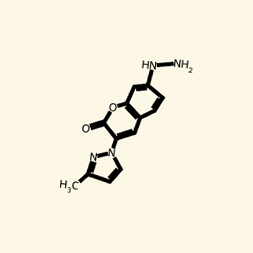 Cc1ccn(-c2cc3ccc(NN)cc3oc2=O)n1